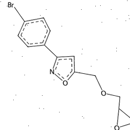 Brc1ccc(-c2cc(COCC3CO3)on2)cc1